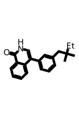 CCC(C)(C)Cc1cccc(-c2c[nH]c(=O)c3ccccc23)c1